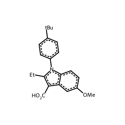 CCc1c(C(=O)O)c2cc(OC)ccc2n1-c1ccc(C(C)(C)C)cc1